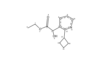 CCOC(=O)C(O)c1cccnc1C1CCC1